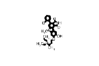 CCCN(CC)C(C)CCOc1cc2c(cc1O)c1c3c(c(-c4ccccc4Cl)cc1n2C)C(=O)NC3=O